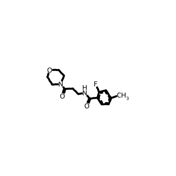 Cc1ccc(C(=O)NCCC(=O)N2CCOCC2)c(F)c1